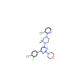 C[C@H]1CN(c2ncccc2Cl)CCN1c1cc(-c2ccc(Cl)c(F)c2)nc(N2CCOCC2)n1